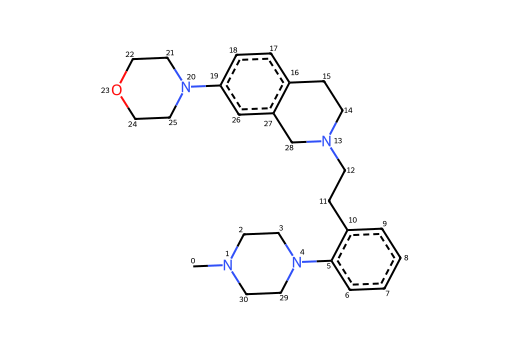 CN1CCN(c2ccccc2CCN2CCc3ccc(N4CCOCC4)cc3C2)CC1